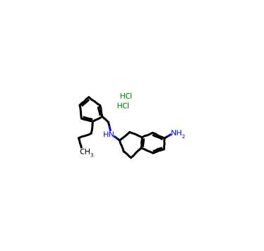 CCCc1ccccc1CNC1CCc2ccc(N)cc2C1.Cl.Cl